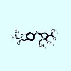 CCn1c(C)c(C(C)=O)sc1=Nc1ccc(CS(=O)(=O)NC)cc1